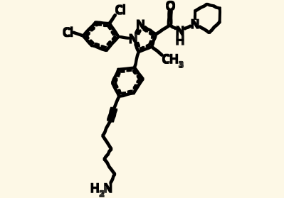 Cc1c(C(=O)NN2CCCCC2)nn(-c2ccc(Cl)cc2Cl)c1-c1ccc(C#CCCCCN)cc1